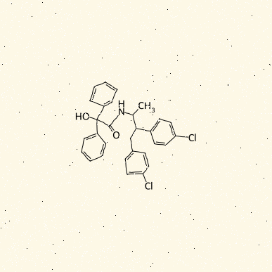 CC(NC(=O)C(O)(c1ccccc1)c1ccccc1)C(Cc1ccc(Cl)cc1)c1ccc(Cl)cc1